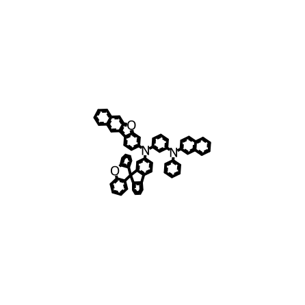 c1ccc(N(c2cccc(N(c3ccc4c(c3)C3(c5ccccc5Oc5ccccc53)c3ccccc3-4)c3ccc4c(c3)oc3cc5ccccc5cc34)c2)c2ccc3ccccc3c2)cc1